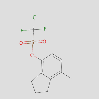 Cc1ccc(OS(=O)(=O)C(F)(F)F)c2c1CCC2